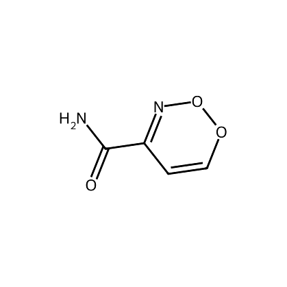 NC(=O)C1=NOOC=C1